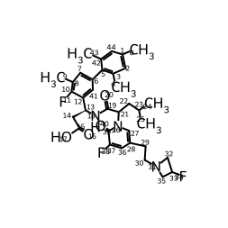 Cc1cc(C)c(-c2cc(C)c(F)c([C@H](CC(=O)O)NC(=O)C(CC(C)C)n3cc(CCN4CC(F)C4)cc(F)c3=O)c2)c(C)c1